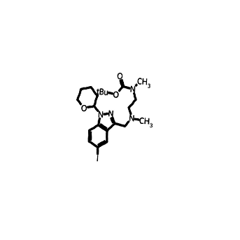 CN(CCN(C)C(=O)OC(C)(C)C)Cc1nn(C2CCCCO2)c2ccc(I)cc12